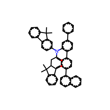 CC1(C)c2ccccc2-c2ccc(N(C3=CC=C4c5ccccc5C(C)(C)C4C3)c3cc(-c4ccccc4)ccc3-c3ccc(-c4cccc5ccccc45)cc3)cc21